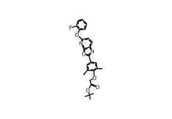 Cc1cc(-c2nc3ccc(Oc4ccccc4F)nc3o2)cc(C)c1OCC(=O)OC(C)(C)C